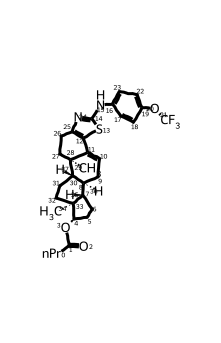 CCCC(=O)O[C@H]1CC[C@H]2[C@@H]3CC=C4c5sc(Nc6ccc(OC(F)(F)F)cc6)nc5CC[C@]4(C)[C@H]3CC[C@]12C